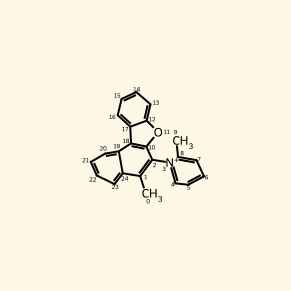 Cc1c(-[n+]2ccccc2C)c2oc3ccccc3c2c2ccccc12